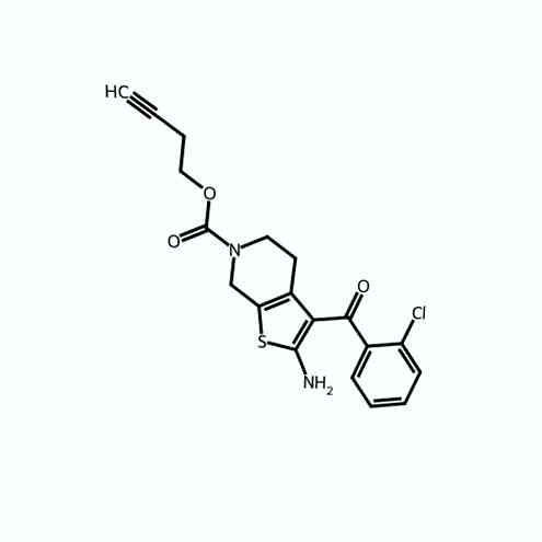 C#CCCOC(=O)N1CCc2c(sc(N)c2C(=O)c2ccccc2Cl)C1